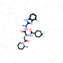 C[C@H](NC(=O)[C@H](CC(=O)N1CCCC[C@@H]1C)NC(=O)C1CCC(F)(F)CC1)c1nc2c(F)cccc2[nH]1